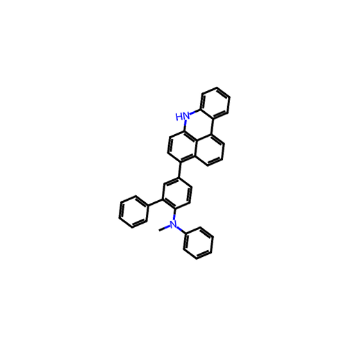 CN(c1ccccc1)c1ccc(-c2ccc3c4c(cccc24)-c2ccccc2N3)cc1-c1ccccc1